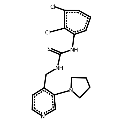 S=C(NCc1ccncc1N1CCCC1)Nc1cccc(Cl)c1Cl